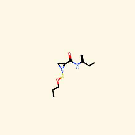 C=C(CC)NC(=O)C1CN1SOCCC